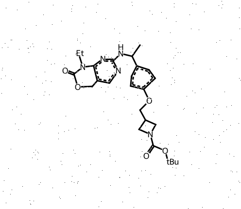 CCN1C(=O)OCc2cnc(NC(C)c3ccc(OCC4CN(C(=O)OC(C)(C)C)C4)cc3)nc21